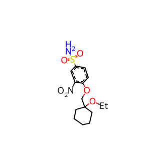 CCOC1(COc2ccc(S(N)(=O)=O)cc2[N+](=O)[O-])CCCCC1